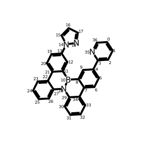 c1ccc(-c2ccc3c(c2)B2c4cc(-n5cccn5)ccc4-c4ccccc4N2c2ccccc2-3)nc1